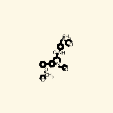 C1CCOC1.CCOc1ccccc1-c1ccc2c(c1)C=C(C(=O)Nc1ccc(CN(C)C3CCOCC3)cc1)CCN2Cc1ccoc1